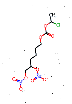 CC(Cl)OC(=O)OCCCCC(CO[N+](=O)[O-])O[N+](=O)[O-]